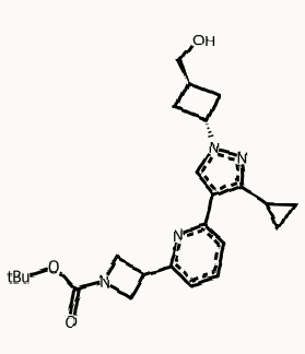 CC(C)(C)OC(=O)N1CC(c2cccc(-c3cn([C@H]4C[C@H](CO)C4)nc3C3CC3)n2)C1